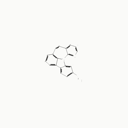 COc1ccc2c3cccc4c3n(c2c1)-c1ncccc1C=C4